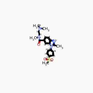 Cc1nc2ccc(C(=O)N(C)CCN(C)C)cc2n1-c1ccc(S(C)(=O)=O)cc1